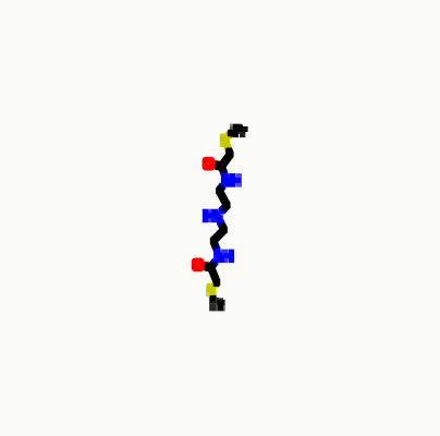 CCSCC(=O)NCCNCCNC(=O)CSC(C)C